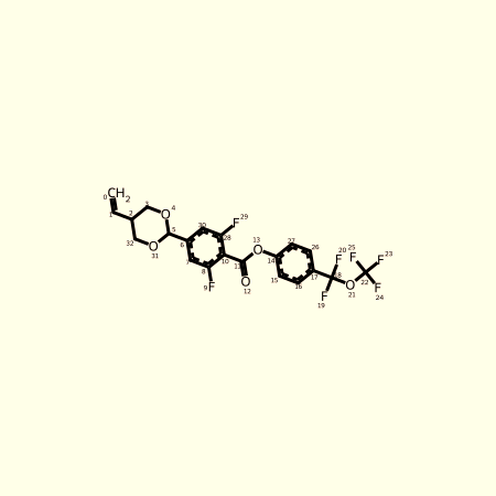 C=CC1COC(c2cc(F)c(C(=O)Oc3ccc(C(F)(F)OC(F)(F)F)cc3)c(F)c2)OC1